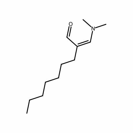 CCCCCCCC(C=O)=CN(C)C